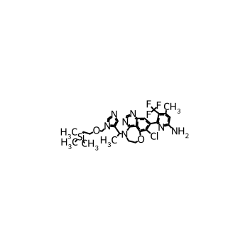 Cc1cc(N)nc(-c2cc3ncnc4c3c(c2Cl)OCCN4C(C)c2cncn2COCC[Si](C)(C)C)c1C(F)(F)F